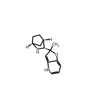 CC1([C@H]2N[C@@H]3CC[C@H]2C3)C=C2NC=CC=C2O1